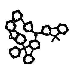 CC1(C)c2ccccc2-c2ccc(N(c3ccc(-c4ccccc4)cc3)c3ccc4c(c3)C(c3ccccc3)(c3ccc5c(c3)oc3ccccc35)c3ccccc3-4)cc21